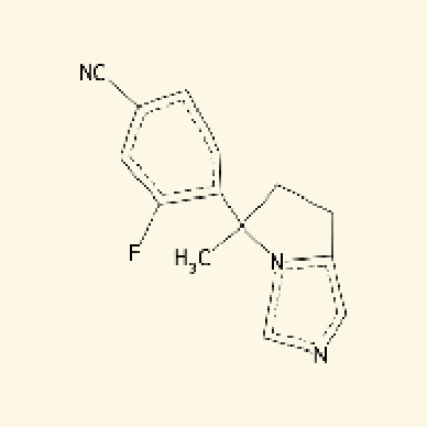 CC1(c2ccc(C#N)cc2F)CCc2cncn21